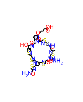 Cc1sc2nc1C(=O)NCc1nc(cs1)C(=O)N[C@@H](Cc1ccc(OCCCCC(=O)O)cc1)C(=O)N1CC(O)[C@H](C)[C@H]1c1nc(cs1)-c1nc(cs1)-c1nc(-c3nc(C(N)=O)cs3)ccc1-c1nc(cs1)C(=O)N[C@H]2CC(N)=O